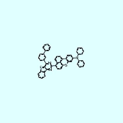 c1ccc(-c2cccc(-c3nc(-c4ccc5c6c(cccc46)-c4ccc(N(c6ccccc6)c6ccccc6)cc4S5)nc4c3sc3ccccc34)c2)cc1